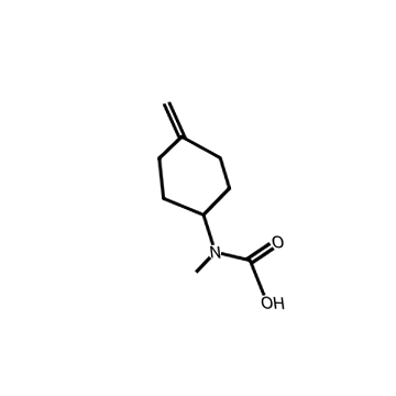 C=C1CCC(N(C)C(=O)O)CC1